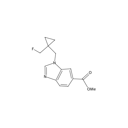 COC(=O)c1ccc2ncn(CC3(CF)CC3)c2c1